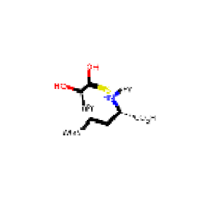 CCC[C@@H](O)C(O)=S.CSCC[C@H](NC(C)C)C(=O)O